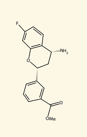 COC(=O)c1cccc([C@H]2C[C@@H](N)c3ccc(F)cc3O2)c1